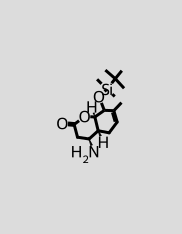 CC1=CC[C@@H]2[C@@H](N)CC(=O)O[C@H]2C1O[Si](C)(C)C(C)(C)C